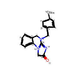 COc1ccc(CN2Cc3ccccc3N3CC(=O)N=C23)cc1